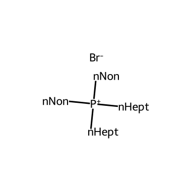 CCCCCCCCC[P+](CCCCCCC)(CCCCCCC)CCCCCCCCC.[Br-]